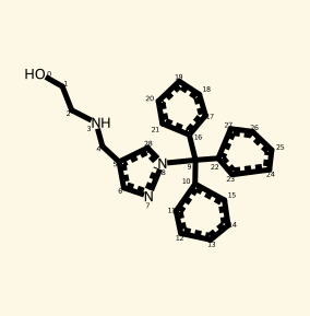 OCCNCc1cnn(C(c2ccccc2)(c2ccccc2)c2ccccc2)c1